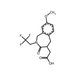 COc1ccc2c(c1)CN(CC(F)(F)F)C(=O)C(CC(=O)O)C2